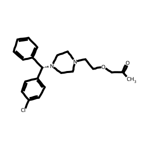 CC(=O)COCCN1CCN([C@@H](c2ccccc2)c2ccc(Cl)cc2)CC1